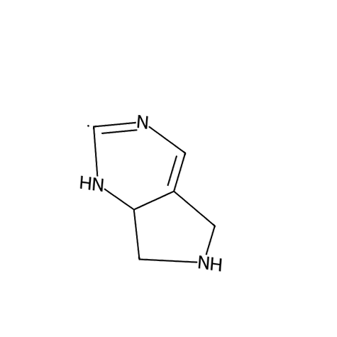 [C]1=NC=C2CNCC2N1